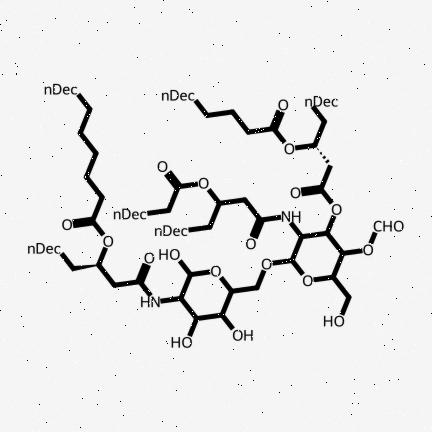 CCCCCCCCCCCCCCCC(=O)O[C@H](CCCCCCCCCCC)CC(=O)NC1C(O)OC(COC2OC(CO)C(OC=O)C(OC(=O)C[C@@H](CCCCCCCCCCC)OC(=O)CCCCCCCCCCCCC)C2NC(=O)CC(CCCCCCCCCCC)OC(=O)CCCCCCCCCCC)C(O)C1O